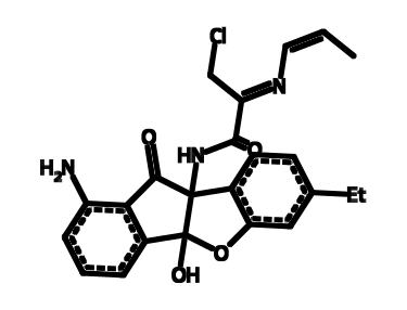 C/C=C\N=C(/CCl)C(=O)NC12C(=O)c3c(N)cccc3C1(O)Oc1cc(CC)ccc12